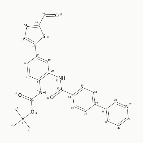 CC(C)(C)OC(=O)Nc1ccc(-c2ccc(C=O)s2)cc1NC(=O)c1ccc(-c2cccnc2)cc1